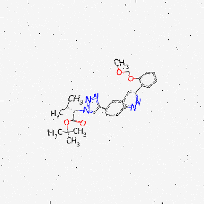 COCOc1ccccc1-c1cc2cc(-c3cn([C@H](C(=O)OC(C)(C)C)C(C)C)nn3)ccc2nn1